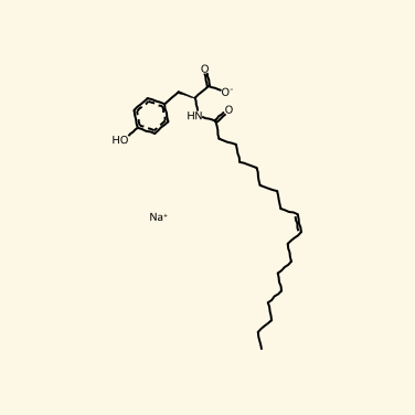 CCCCCCCC/C=C\CCCCCCCC(=O)N[C@@H](Cc1ccc(O)cc1)C(=O)[O-].[Na+]